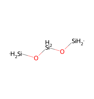 [SiH2]O[SiH2]O[SiH2]